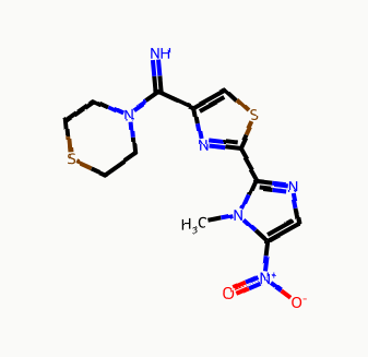 Cn1c([N+](=O)[O-])cnc1-c1nc(C(=N)N2CCSCC2)cs1